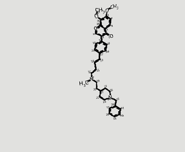 COc1ccc2c(=O)c(-c3ccc(CCCCN(C)CCC4CCN(Cc5ccccc5)CC4)cc3)coc2c1OC